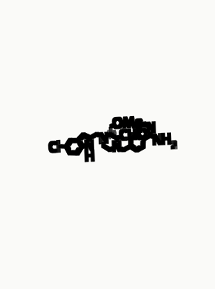 COC[C@@H]1C(C=O)N(Cc2ccc3c(N)ncnc3c2)CCN1Cc1cc2cc(Cl)ccc2[nH]1